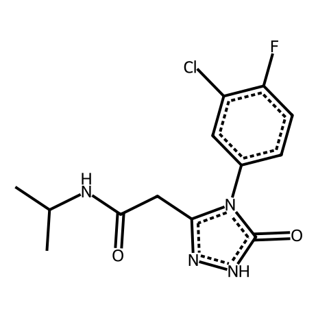 CC(C)NC(=O)Cc1n[nH]c(=O)n1-c1ccc(F)c(Cl)c1